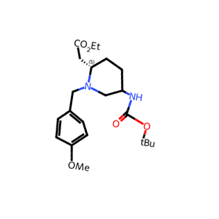 CCOC(=O)C[C@@H]1CCC(NC(=O)OC(C)(C)C)CN1Cc1ccc(OC)cc1